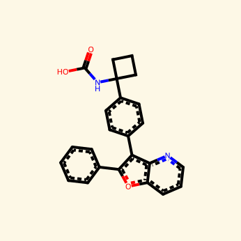 O=C(O)NC1(c2ccc(-c3c(-c4ccccc4)oc4cccnc34)cc2)CCC1